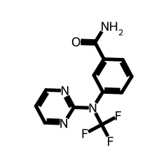 NC(=O)c1cccc(N(c2ncccn2)C(F)(F)F)c1